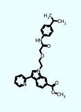 COC(=O)c1ccc2c(-c3ccccn3)cn(CCOCC(=O)Nc3ccc(C(C)C)cc3)c2c1